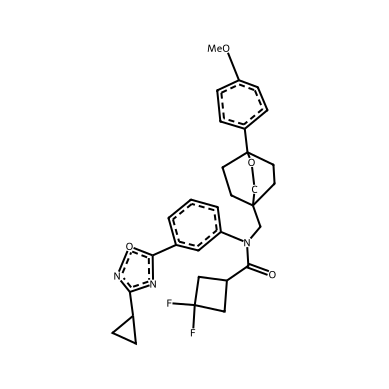 COc1ccc(C23CCC(CN(C(=O)C4CC(F)(F)C4)c4cccc(-c5nc(C6CC6)no5)c4)(CC2)CO3)cc1